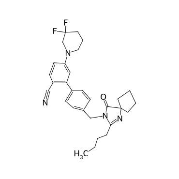 CCCCC1=NC2(CCCC2)C(=O)N1Cc1ccc(-c2cc(N3CCCC(F)(F)C3)ccc2C#N)cc1